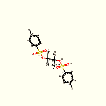 [2H]C([2H])(OS(=O)(=O)c1ccc(C)cc1)C([2H])([2H])OS(=O)(=O)c1ccc(C)cc1